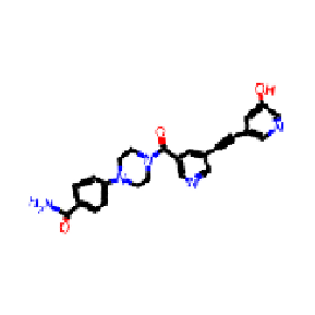 NC(=O)c1ccc(N2CCN(C(=O)c3cncc(C#Cc4cncc(O)c4)c3)CC2)cc1